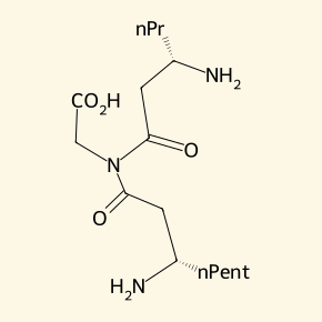 CCCCC[C@H](N)CC(=O)N(CC(=O)O)C(=O)C[C@@H](N)CCC